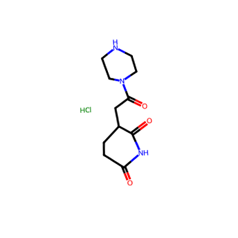 Cl.O=C1CCC(CC(=O)N2CCNCC2)C(=O)N1